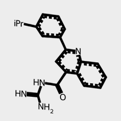 CC(C)c1cccc(-c2cc(C(=O)NC(=N)N)c3ccccc3n2)c1